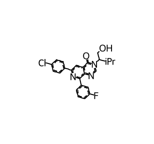 CC(C)C(CO)n1cnc2c(-c3cccc(F)c3)nc(-c3ccc(Cl)cc3)cc2c1=O